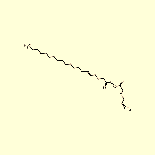 C=CCOCC(=O)OOC(=O)CCCC=CCCCCCCCCCCCCCC